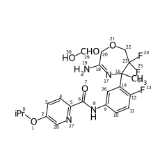 CC(C)Oc1ccc(C(=O)Nc2ccc(F)c(C3(C)N=C(N)COCC3(F)F)c2)nc1.O=CO